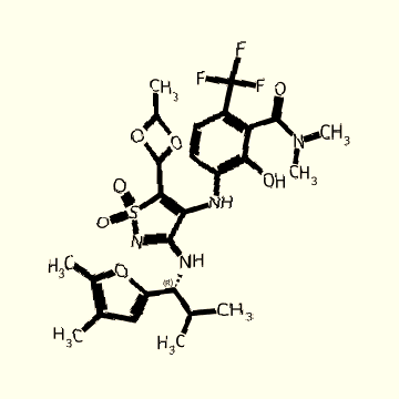 Cc1cc([C@H](NC2=NS(=O)(=O)C(C3OC(C)O3)=C2Nc2ccc(C(F)(F)F)c(C(=O)N(C)C)c2O)C(C)C)oc1C